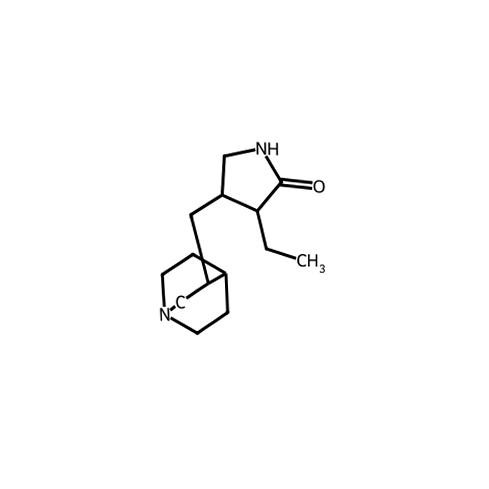 CCC1C(=O)NCC1CC1CN2CCC1CC2